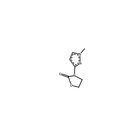 Cn1ccc(N2CCOC2=O)n1